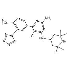 CC1(C)CC(Nc2nc(N)nc(-c3ccc(C4CC4)c(-n4cnnn4)c3)c2F)CC(C)(C)N1